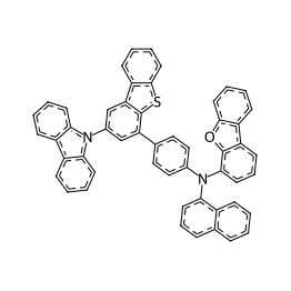 c1ccc2c(N(c3ccc(-c4cc(-n5c6ccccc6c6ccccc65)cc5c4sc4ccccc45)cc3)c3cccc4c3oc3ccccc34)cccc2c1